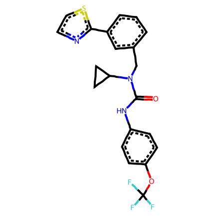 O=C(Nc1ccc(OC(F)(F)F)cc1)N(Cc1cccc(-c2nccs2)c1)C1CC1